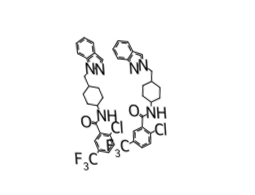 O=C(NC1CCC(Cn2cc3ccccc3n2)CC1)c1cc(C(F)(F)F)ccc1Cl.O=C(NC1CCC(Cn2ncc3ccccc32)CC1)c1cc(C(F)(F)F)ccc1Cl